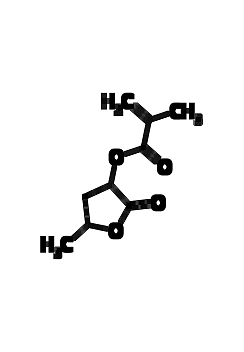 C=C(C)C(=O)OC1CC(C)OC1=O